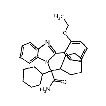 CCOc1ccccc1-c1nc2ccccc2n1C(C(N)=O)(C1CCCCC1)C1CCCCC1